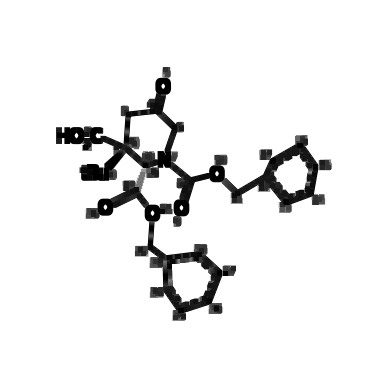 CC(C)(C)[C@@]1(C(=O)O)CC(=O)CN(C(=O)OCc2ccccc2)[C@@H]1C(=O)OCc1ccccc1